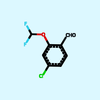 O=Cc1ccc(Cl)cc1OC(F)F